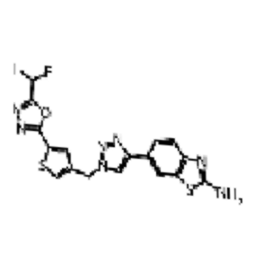 Nc1nc2ccc(-c3cn(Cc4csc(-c5nnc(C(F)F)o5)c4)nn3)cc2s1